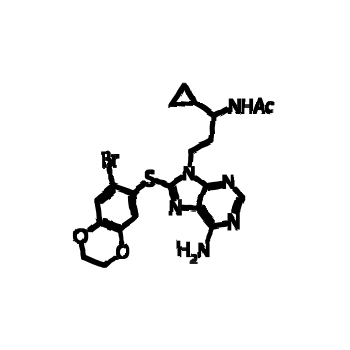 CC(=O)NC(CCn1c(Sc2cc3c(cc2Br)OCCO3)nc2c(N)ncnc21)C1CC1